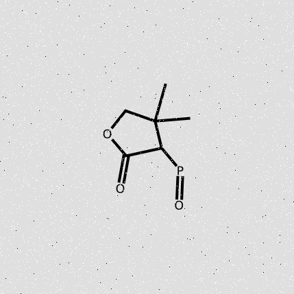 CC1(C)COC(=O)C1P=O